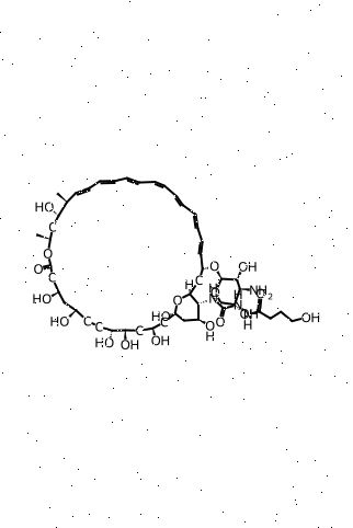 C[C@H]1C[C@H](O)[C@@H](C)/C=C/C=C/C=C/C=C/C=C/C=C/C=C/[C@H](O[C@@H]2OC[C@@H](O)[C@H](N)[C@@H]2O)C[C@@H]2O[C@](O)(C[C@@H](O)C[C@@H](O)[C@H](O)CC[C@@H](O)C[C@@H](O)CC(=O)O1)C[C@H](O)[C@H]2NC(=O)NNC(=O)CCCO